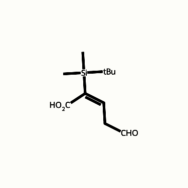 CC(C)(C)[Si](C)(C)C(=CCC=O)C(=O)O